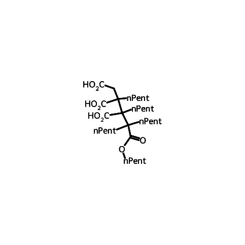 CCCCCOC(=O)C(CCCCC)(CCCCC)C(CCCCC)(C(=O)O)C(CCCCC)(CC(=O)O)C(=O)O